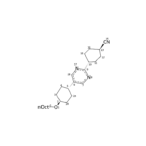 CCCCCCCCO[C@H]1CC[C@H](c2cnc([C@H]3CC[C@H](C#N)CC3)nc2)CC1